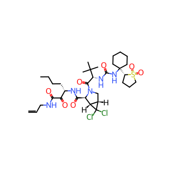 C=CCNC(=O)C(=O)[C@H](CCCC)NC(=O)[C@@H]1[C@@H]2[C@H](CN1C(=O)[C@@H](NC(=O)NC1([C@H]3CCCS3(=O)=O)CCCCC1)C(C)(C)C)C2(Cl)Cl